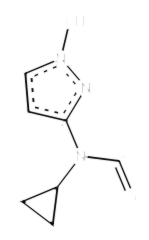 Cn1c[c]c(N(C=O)C2CC2)n1